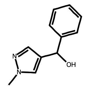 Cn1cc(C(O)c2ccccc2)cn1